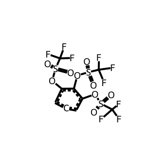 O=S(=O)(Oc1cccc(OS(=O)(=O)C(F)(F)F)c1OS(=O)(=O)C(F)(F)F)C(F)(F)F